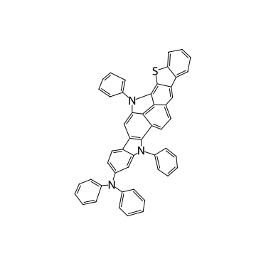 c1ccc(N(c2ccccc2)c2ccc3c4cc5c6c(ccc7cc8c9ccccc9sc8c(c76)n5-c5ccccc5)c4n(-c4ccccc4)c3c2)cc1